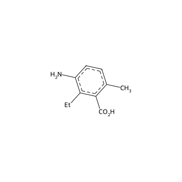 CCc1c(N)ccc(C)c1C(=O)O